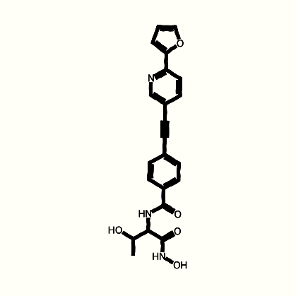 CC(O)C(NC(=O)c1ccc(C#Cc2ccc(-c3ccco3)nc2)cc1)C(=O)NO